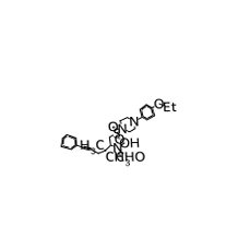 CCOc1ccc(N2CCN(S(=O)(=O)CC(N(O)C=O)C(C)(C)CC#Cc3ccccc3)CC2)cc1